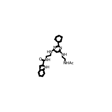 CC(=O)NCCNc1cc(NCCNC(=O)c2cc3ccccc3[nH]2)nc(-c2ccccc2)n1